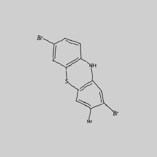 Brc1ccc2c(c1)Sc1cc(Br)c(Br)cc1N2